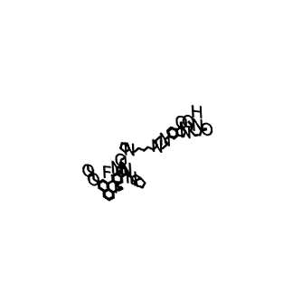 C#Cc1cccc2cc(OCOC)cc(-c3c(F)cc4c(N5CC6CCC(C6)C5)nc(OC[C@@H]5CCCN5CCCCCN5CCN(c6ccc7c(c6)CN([C@H]6CCC(=O)NC6=O)C7=O)CC5)nc4c3F)c12